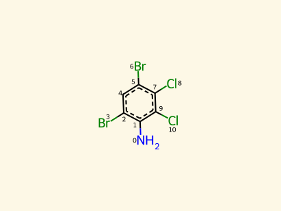 Nc1c(Br)cc(Br)c(Cl)c1Cl